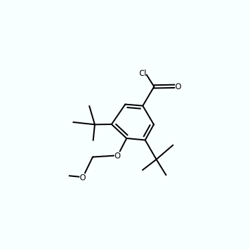 COCOc1c(C(C)(C)C)cc(C(=O)Cl)cc1C(C)(C)C